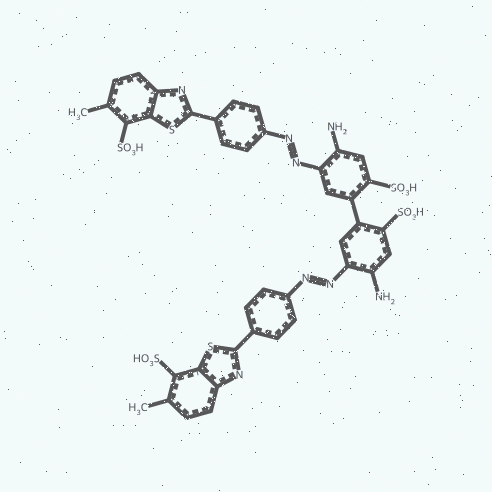 Cc1ccc2nc(-c3ccc(N=Nc4cc(-c5cc(N=Nc6ccc(-c7nc8ccc(C)c(S(=O)(=O)O)c8s7)cc6)c(N)cc5S(=O)(=O)O)c(S(=O)(=O)O)cc4N)cc3)sc2c1S(=O)(=O)O